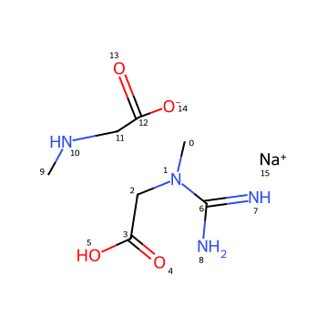 CN(CC(=O)O)C(=N)N.CNCC(=O)[O-].[Na+]